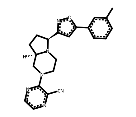 Cc1cccc(-c2cc([C@@H]3CC[C@@H]4CN(c5nccnc5C#N)CCN43)no2)c1